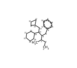 CCC(C)[C](Cc1ccccc1)C(CC1CCC1)C1CCCCC1